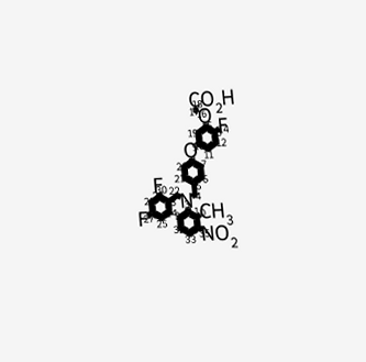 Cc1c(N(Cc2ccc(Oc3ccc(F)c(OCC(=O)O)c3)cc2)Cc2ccc(F)cc2F)cccc1[N+](=O)[O-]